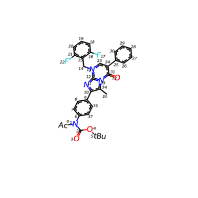 CC(=O)N(C(=O)OC(C)(C)C)c1ccc(-c2nc3n(Cc4c(F)cccc4F)cc(-c4ccccc4)c(=O)n3c2C)cc1